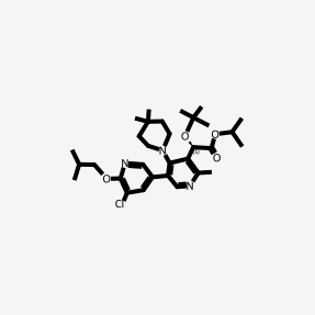 Cc1ncc(-c2cnc(OCC(C)C)c(Cl)c2)c(N2CCC(C)(C)CC2)c1[C@H](OC(C)(C)C)C(=O)OC(C)C